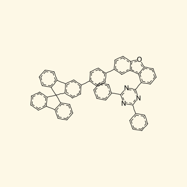 c1ccc(-c2nc(-c3ccccc3)nc(-c3cccc4oc5ccc(-c6ccc(-c7ccc8c(c7)-c7ccccc7C87c8ccccc8-c8ccccc87)cc6)cc5c34)n2)cc1